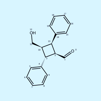 O=C[C@H]1[C@H](c2ccccc2)[C@@H](CO)[C@H]1c1ccccc1